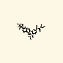 CCNC(=O)Nc1ccc(S(=O)(=O)CC)c(-c2nc3cc(C(F)(F)C(F)(F)F)nnc3n2C)n1